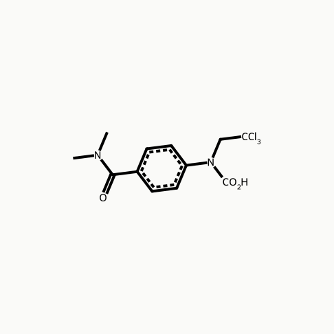 CN(C)C(=O)c1ccc(N(CC(Cl)(Cl)Cl)C(=O)O)cc1